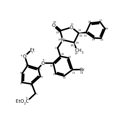 CCOC(=O)Cc1ccc(OCC)c(Oc2ccc(Br)cc2CN2C(=O)O[C@@H](c3ccccc3)[C@H]2C)c1